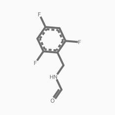 O=CNCc1c(F)cc(F)cc1F